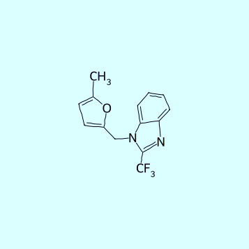 Cc1ccc(Cn2c(C(F)(F)F)nc3ccccc32)o1